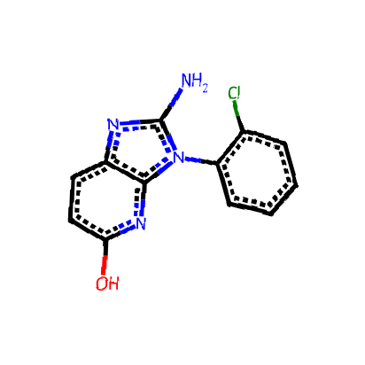 Nc1nc2ccc(O)nc2n1-c1ccccc1Cl